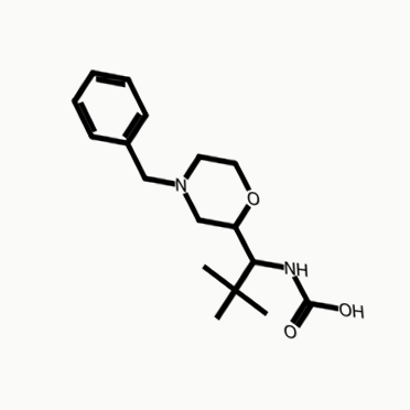 CC(C)(C)C(NC(=O)O)C1CN(Cc2ccccc2)CCO1